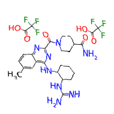 Cc1ccc2nc(C(=O)N3CCC(C(N)=O)CC3)nc(NC3CCCCC3NC(=N)N)c2c1.O=C(O)C(F)(F)F.O=C(O)C(F)(F)F